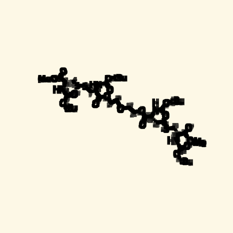 COC(=O)[C@H](CSSC[C@H](NC(=O)OC(C)(C)C)C(=O)OCCOCCOC(=O)[C@@H](CSSC[C@@H](NC(=O)OC(C)(C)C)C(=O)OC)NC(=O)OC(C)(C)C)NC(=O)OC(C)(C)C